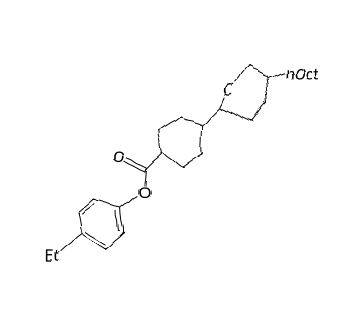 CCCCCCCCC1CCC(C2CCC(C(=O)Oc3ccc(CC)cc3)CC2)CC1